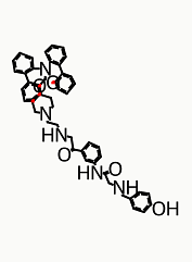 O=C(CNCc1ccc(O)cc1)Nc1cccc(C(=O)CNCCN2CCC(OC(=O)N(c3ccccc3-c3ccccc3)c3ccccc3-c3ccccc3)CC2)c1